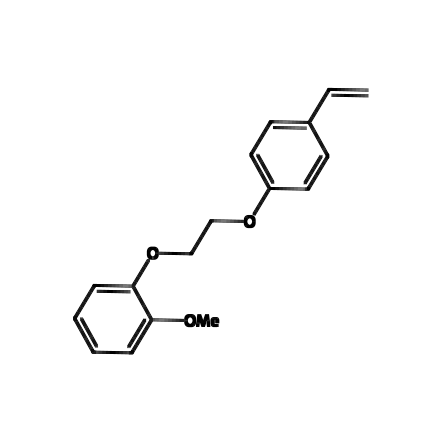 C=Cc1ccc(OCCOc2ccccc2OC)cc1